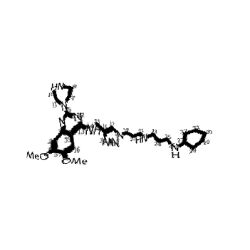 COc1cc2nc(N3CCNCC3)nc(NCc3cn(CCCNCCCNC4CCCCC4)nn3)c2cc1OC